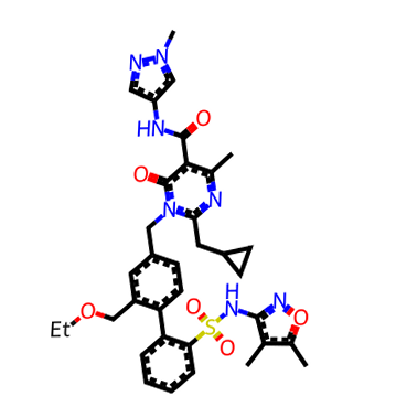 CCOCc1cc(Cn2c(CC3CC3)nc(C)c(C(=O)Nc3cnn(C)c3)c2=O)ccc1-c1ccccc1S(=O)(=O)Nc1noc(C)c1C